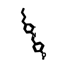 CCCCc1c[c]c(N=Cc2ccc(OC)cc2)cc1